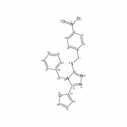 O=[N+]([O-])c1ccc(CSc2nnc(-c3ccco3)n2Cc2ccccc2)cc1